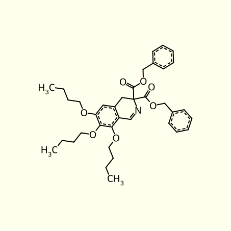 CCCCOc1cc2c(c(OCCCC)c1OCCCC)C=NC(C(=O)OCc1ccccc1)(C(=O)OCc1ccccc1)C2